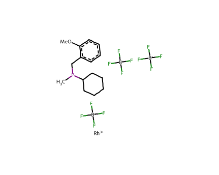 COc1ccccc1CP(C)C1CCCCC1.F[B-](F)(F)F.F[B-](F)(F)F.F[B-](F)(F)F.[Rh+3]